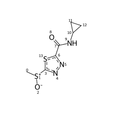 C[S+]([O-])c1nnc(C(=O)NC2CC2)s1